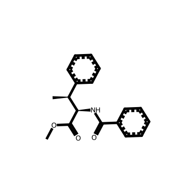 COC(=O)[C@H](NC(=O)c1ccccc1)[C@@H](C)c1ccccc1